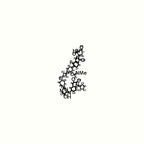 CNC(=O)COc1cc2cc(Nc3nc(N4CCC(OC5CC(N6CCC(c7ccc8c(c7F)CN([C@@H]7CCC(=O)NC7=O)C8=O)CC6)C5)CC4)ncc3Cl)ccc2n(C2CCCC2)c1=O